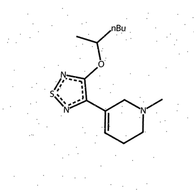 CCCCC(C)Oc1nsnc1C1=CCCN(C)C1